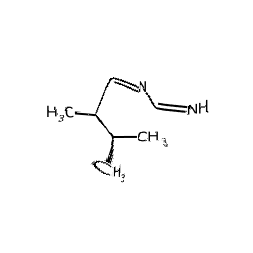 CC(C)C(C)/C=N\C=N